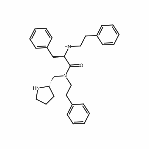 O=C([C@@H](Cc1ccccc1)NCCc1ccccc1)N(CCc1ccccc1)C[C@@H]1CCCN1